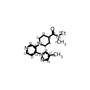 CCN(C)C(=O)C1CCN(c2cnccc2-n2cc(C)cn2)CC1